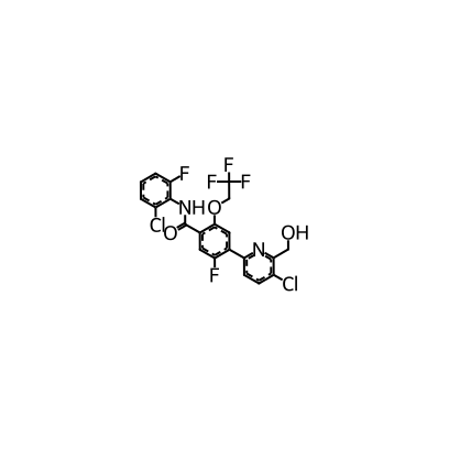 O=C(Nc1c(F)cccc1Cl)c1cc(F)c(-c2ccc(Cl)c(CO)n2)cc1OCC(F)(F)F